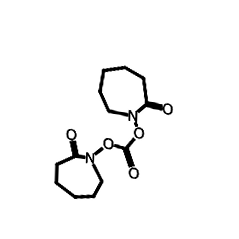 O=C(ON1CCCCCC1=O)ON1CCCCCC1=O